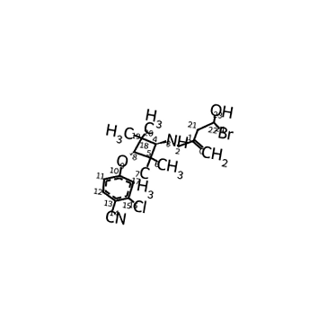 C=C(CN[C@H]1C(C)(C)[C@H](Oc2ccc(C#N)c(Cl)c2)C1(C)C)CC(O)Br